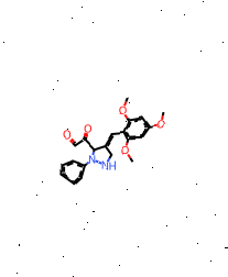 COc1cc(OC)c(C=C2CNN(c3ccccc3)C2C(=O)C=O)c(OC)c1